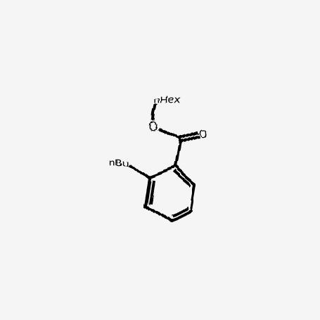 CCCCCCOC(=O)c1ccccc1CCCC